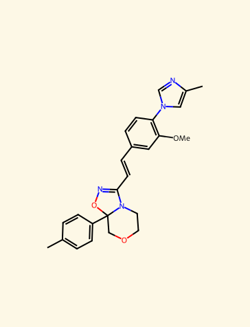 COc1cc(/C=C/C2=NOC3(c4ccc(C)cc4)COCCN23)ccc1-n1cnc(C)c1